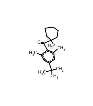 Cc1cc(C(C)(C)C)cc(C)c1C(=O)C1(P)CCCCC1